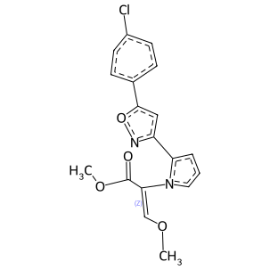 CO/C=C(/C(=O)OC)n1cccc1-c1cc(-c2ccc(Cl)cc2)on1